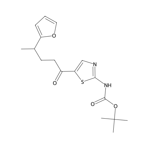 CC(CCC(=O)c1cnc(NC(=O)OC(C)(C)C)s1)c1ccco1